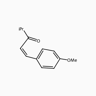 COc1ccc(/C=C\C(=O)C(C)C)cc1